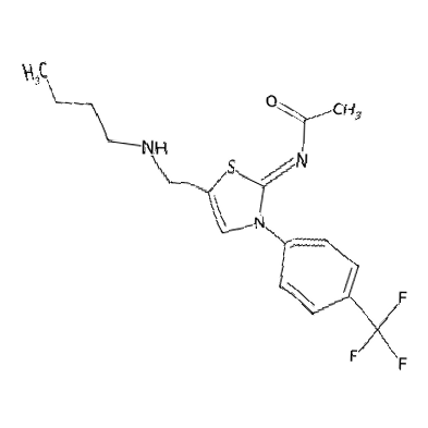 CCCCNCc1cn(-c2ccc(C(F)(F)F)cc2)c(=NC(C)=O)s1